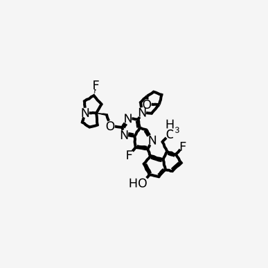 CCc1c(F)ccc2cc(O)cc(-c3ncc4c(N5CC6CCC(C5)O6)nc(OC[C@@]56CCCN5C[C@H](F)C6)nc4c3F)c12